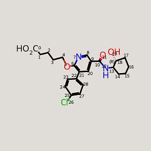 O=C(O)CCCCOc1ncc(C(=O)NC2CCCC[C@H]2O)cc1-c1ccc(Cl)cc1